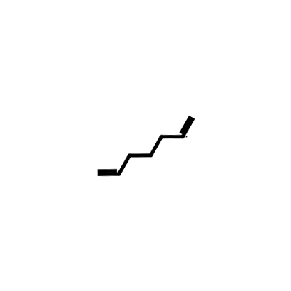 C=[C]CCCC=C